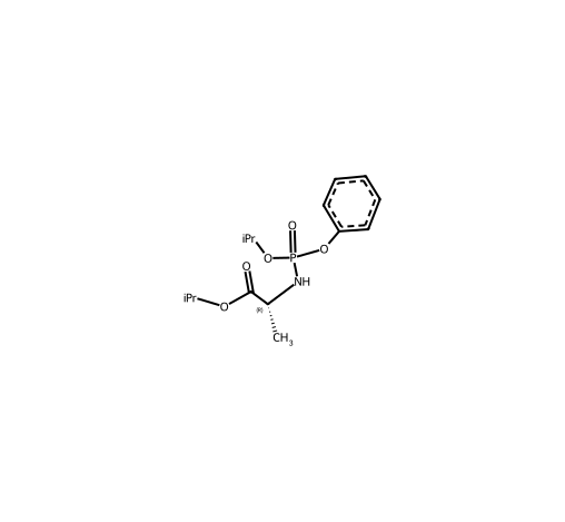 CC(C)OC(=O)[C@@H](C)NP(=O)(Oc1ccccc1)OC(C)C